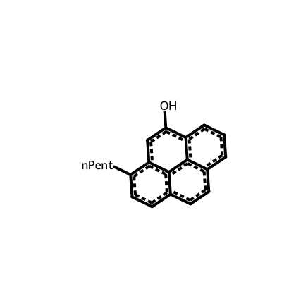 CCCCCc1ccc2ccc3cccc4c(O)cc1c2c34